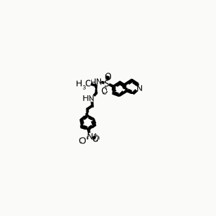 CC(CNCCc1ccc([N+](=O)[O-])cc1)NS(=O)(=O)c1ccc2cnccc2c1